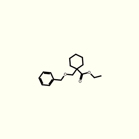 CCOC(=O)C1(COCc2ccccc2)CCCCC1